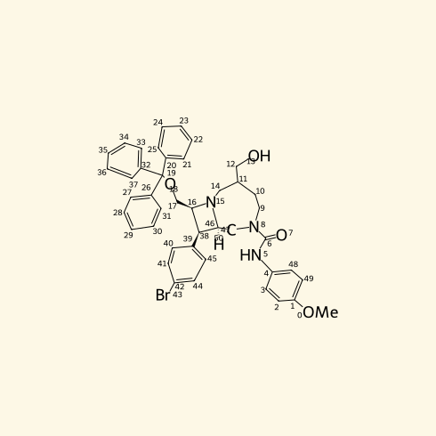 COc1ccc(NC(=O)N2CCC(CO)CN3[C@H](COC(c4ccccc4)(c4ccccc4)c4ccccc4)[C@H](c4ccc(Br)cc4)[C@@H]3C2)cc1